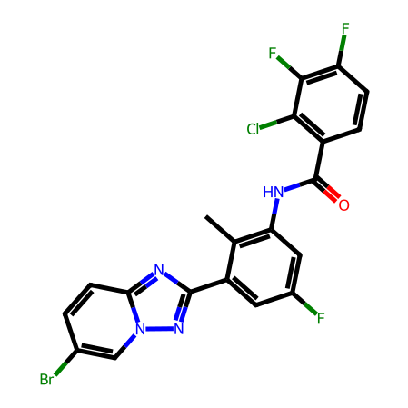 Cc1c(NC(=O)c2ccc(F)c(F)c2Cl)cc(F)cc1-c1nc2ccc(Br)cn2n1